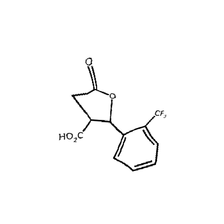 O=C1CC(C(=O)O)C(c2ccccc2C(F)(F)F)O1